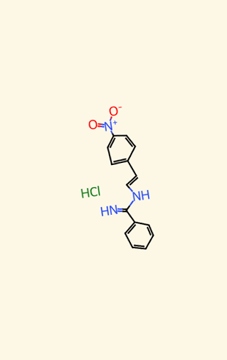 Cl.N=C(N/C=C/c1ccc([N+](=O)[O-])cc1)c1ccccc1